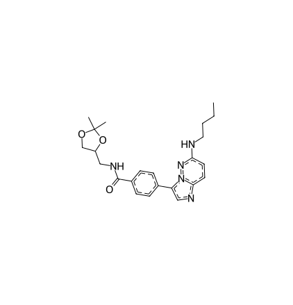 CCCCNc1ccc2ncc(-c3ccc(C(=O)NCC4COC(C)(C)O4)cc3)n2n1